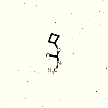 C[N]C(=O)OC1CCC1